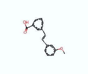 COc1cccc(C=Cc2cccc(C(=O)O)c2)c1